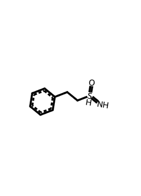 N=[SH](=O)CCc1ccccc1